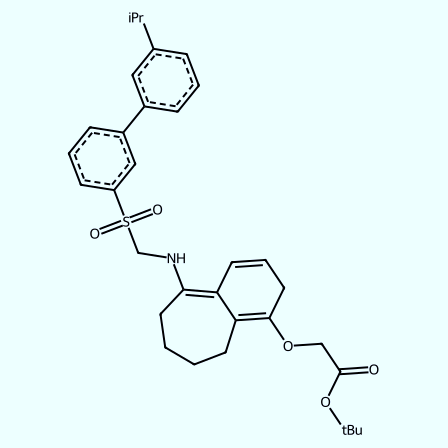 CC(C)c1cccc(-c2cccc(S(=O)(=O)CNC3=C4C=CCC(OCC(=O)OC(C)(C)C)=C4CCCC3)c2)c1